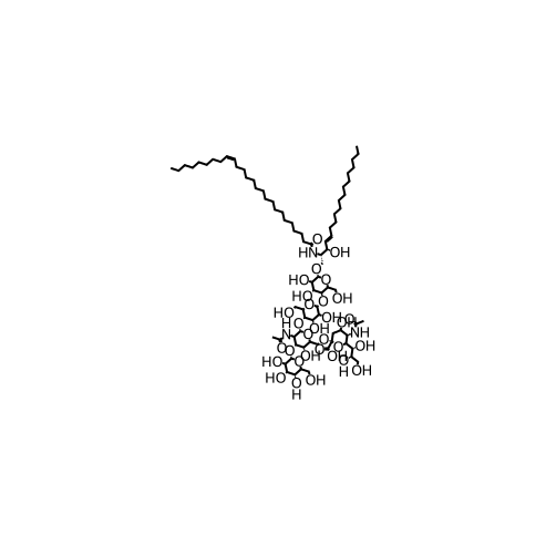 CCCCCCCC/C=C\CCCCCCCCCCCCCCCC(=O)N[C@@H](CO[C@@H]1OC(CO)[C@@H](O[C@@H]2OC(CO)[C@H](O[C@@H]3OC(CO[C@]4(C(=O)O)CC(O)[C@@H](NC(C)=O)C([C@H](O)[C@H](O)CO)O4)[C@H](O)[C@H](O[C@@H]4OC(CO)[C@H](O)[C@H](O)C4O)C3NC(C)=O)[C@H](O)C2O)[C@H](O)C1O)[C@H](O)/C=C/CCCCCCCCCCCCC